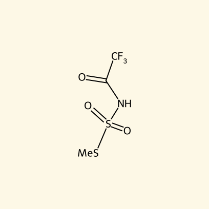 CSS(=O)(=O)NC(=O)C(F)(F)F